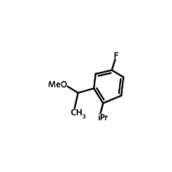 COC(C)c1cc(F)ccc1C(C)C